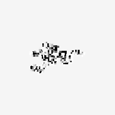 CSc1ncnn2c([C@H]3O[C@H](CO[Si](C)(C)C(C)(C)C)[C@@H](O[Si](C)(C)C(C)(C)C)[C@@H]3O[Si](C)(C)C(C)(C)C)ccc12